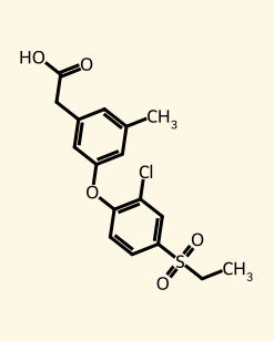 CCS(=O)(=O)c1ccc(Oc2cc(C)cc(CC(=O)O)c2)c(Cl)c1